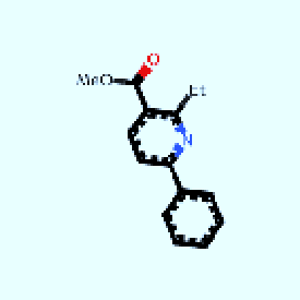 CCc1nc(-c2ccccc2)ccc1C(=O)OC